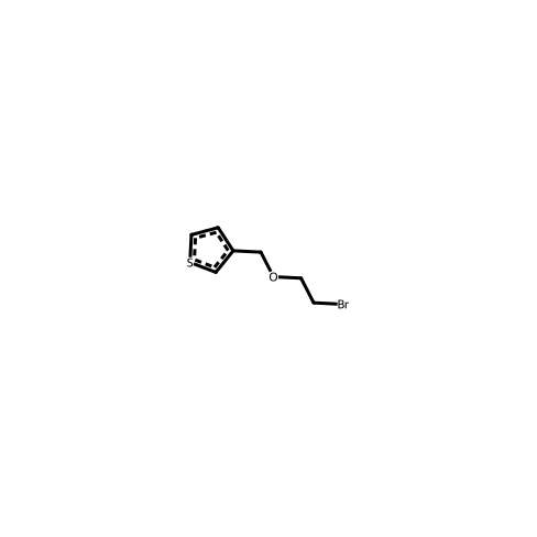 BrCCOCc1ccsc1